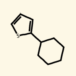 [c]1csc(C2CCCCC2)c1